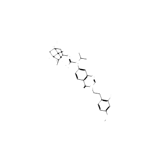 COc1ccc(CCn2cnc3cc(N(/C(N)=N/C4C[C@@H]5C[C@H]([C@@H]4C)C5(C)C)C(C)C)ccc3c2=O)c(F)c1